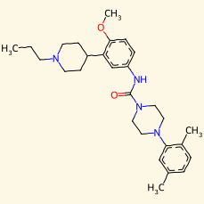 CCCN1CCC(c2cc(NC(=O)N3CCN(c4cc(C)ccc4C)CC3)ccc2OC)CC1